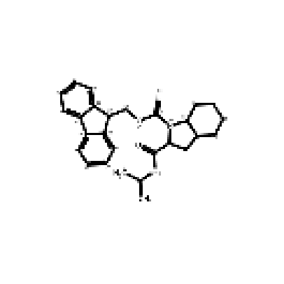 CC(C)OC(=O)C1CC2CCCCC2N1C(=O)OCC1c2ccccc2-c2ccccc21